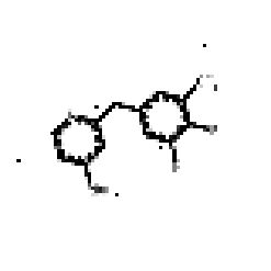 CC(C)(C)c1ccnc(Cc2cc(F)c(F)c(C(F)(F)F)c2)c1